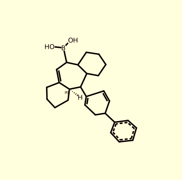 OB(O)C1C=C2CCCC[C@@H]2C(C2=CCC(c3ccccc3)C=C2)C2CCCCC12